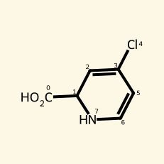 O=C(O)C1C=C(Cl)C=CN1